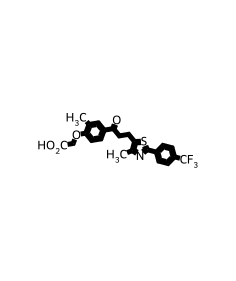 Cc1cc(C(=O)CCc2sc(-c3ccc(C(F)(F)F)cc3)nc2C)ccc1OCC(=O)O